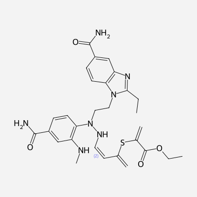 C=C(/C=C\NN(CCn1c(CC)nc2cc(C(N)=O)ccc21)c1ccc(C(N)=O)cc1NC)SC(=C)C(=O)OCC